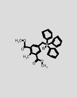 COC(=O)c1cc(CP(Br)(c2ccccc2)(c2ccccc2)c2ccccc2)cc(C(=O)OC)c1C